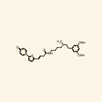 COc1cc(CCN(C)CCCCNC(=O)C/C=C/c2ccc(-n3ccc(=O)cc3)s2)cc(OC)c1